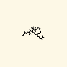 C#C/C(C)=C/C=C(C(=C)C)/C(C)=C(CCCC(C/C=C\C)CCCC(C)C(=C)C)/C(C(=C)C)=C(\C)NCC